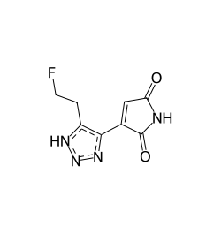 O=C1C=C(c2nn[nH]c2CCF)C(=O)N1